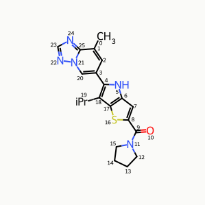 Cc1cc(-c2[nH]c3cc(C(=O)N4CCCC4)sc3c2C(C)C)cn2ncnc12